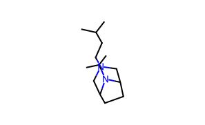 CC(C)CCN1CC2CCC(C1)N2C(C)C